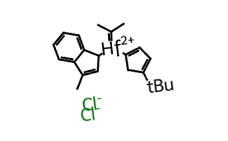 CC1=C[CH]([Hf+2]([C]2=CC=C(C(C)(C)C)C2)=[C](C)C)c2ccccc21.[Cl-].[Cl-]